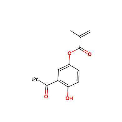 C=C(C)C(=O)Oc1ccc(O)c(C(=O)C(C)C)c1